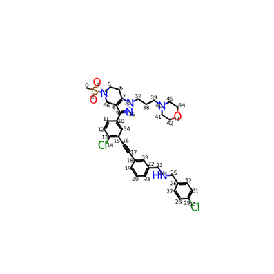 CS(=O)(=O)N1CCc2c(c(-c3ccc(Cl)c(C#Cc4cccc(CNCc5ccc(Cl)cc5)c4)c3)nn2CCCN2CCOCC2)C1